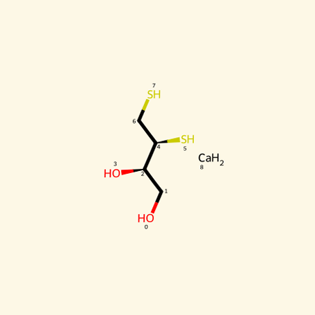 OC[C@@H](O)[C@H](S)CS.[CaH2]